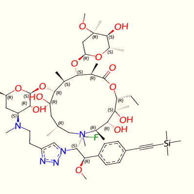 CC[C@H]1OC(=O)[C@H](C)[C@@H](O[C@H]2C[C@@](C)(OC)[C@@H](O)[C@H](C)O2)[C@H](C)[C@@H](O[C@@H]2O[C@H](C)C[C@H](N(C)CCc3cn([C@H](CF)[C@H](OC)c4ccc(C#C[Si](C)(C)C)cc4)nn3)[C@H]2O)[C@](C)(O)C[C@@H](C)CN(C)[C@H](C)[C@@H](O)[C@]1(C)O